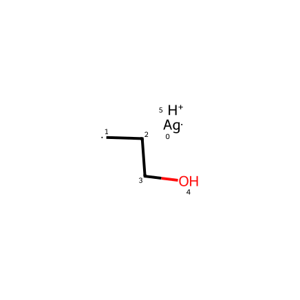 [Ag].[CH2]CCO.[H+]